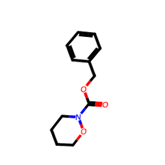 O=C(OCc1ccccc1)N1CCCCO1